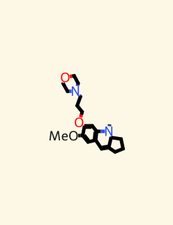 COc1cc2c(cc1OCCCN1CCOCC1)N(C)C1CCCC1=C2